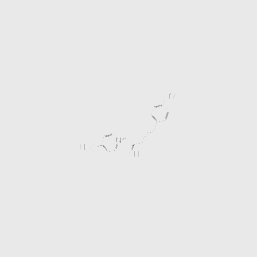 C=C(COCc1ccc(C)cc1)O[n+]1ccc(C)cc1